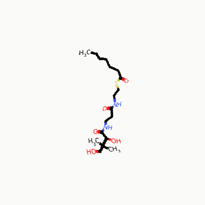 CCCCCCC(=O)SCCNC(=O)CCNC(=O)C(O)C(C)(C)CO